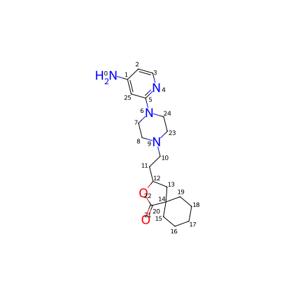 Nc1ccnc(N2CCN(CCC3CC4(CCCCC4)C(=O)O3)CC2)c1